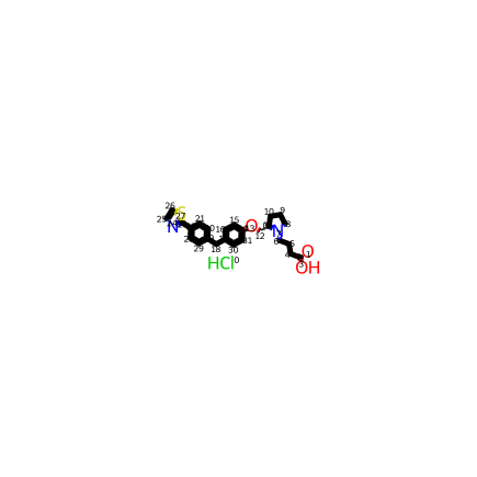 Cl.O=C(O)CCCN1CCC[C@H]1COc1ccc(Cc2ccc(-c3nccs3)cc2)cc1